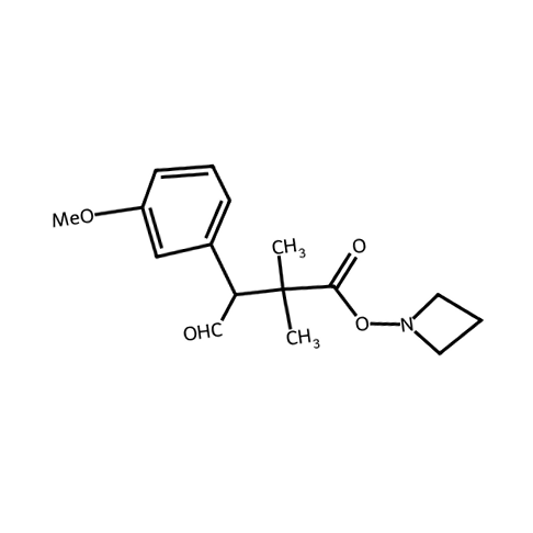 COc1cccc(C(C=O)C(C)(C)C(=O)ON2CCC2)c1